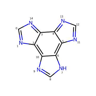 C1=Nc2c(c3c(c4[nH]cnc24)N=CN=3)=N1